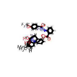 CO[C@H]1[C@@H]2CC3C45CCC[C@@]6(OC(=O)c7ccccc7NC(=O)c7ccc(OC(F)(F)F)cc7)CCN4C(CC56)[C@@](O)(C[C@@H]2C)[C@]31O